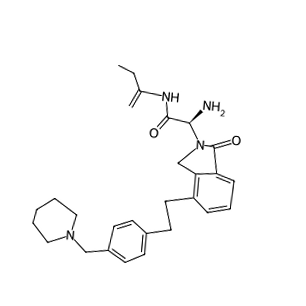 C=C(CC)NC(=O)[C@@H](N)N1Cc2c(CCc3ccc(CN4CCCCC4)cc3)cccc2C1=O